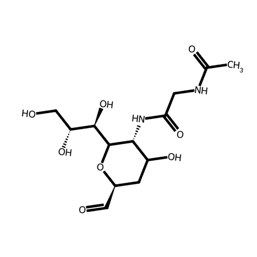 CC(=O)NCC(=O)N[C@@H]1C(O)C[C@@H](C=O)OC1[C@H](O)[C@H](O)CO